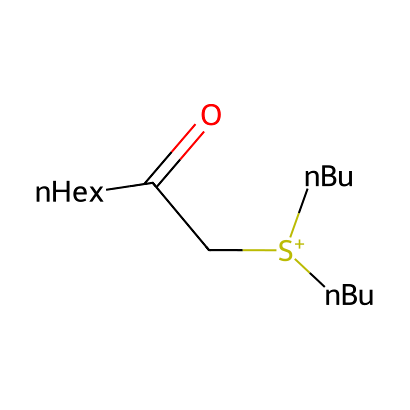 CCCCCCC(=O)C[S+](CCCC)CCCC